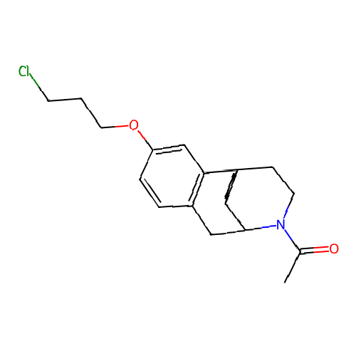 CC(=O)N1CCC23CCCCC2C1Cc1ccc(OCCCCl)cc13